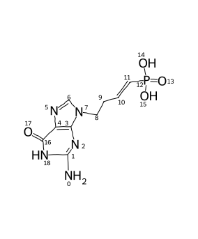 Nc1nc2c(ncn2CCC=CP(=O)(O)O)c(=O)[nH]1